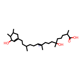 C/C(=C\CCC(C)CCC1=CC(O)C(C)C(C)C1)CCCC(C)(O)CCCC(C)C(=O)O